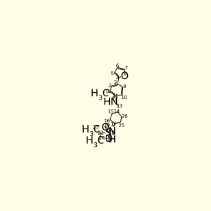 Cc1cc(-c2ccco2)ccc1NC[C@H]1CC[C@H](NS(=O)(=O)C(C)C)CC1